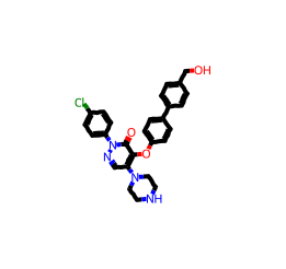 O=c1c(Oc2ccc(-c3ccc(CO)cc3)cc2)c(N2CCNCC2)cnn1-c1ccc(Cl)cc1